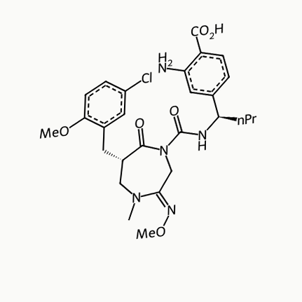 CCC[C@@H](NC(=O)N1CC(=NOC)N(C)C[C@H](Cc2cc(Cl)ccc2OC)C1=O)c1ccc(C(=O)O)c(N)c1